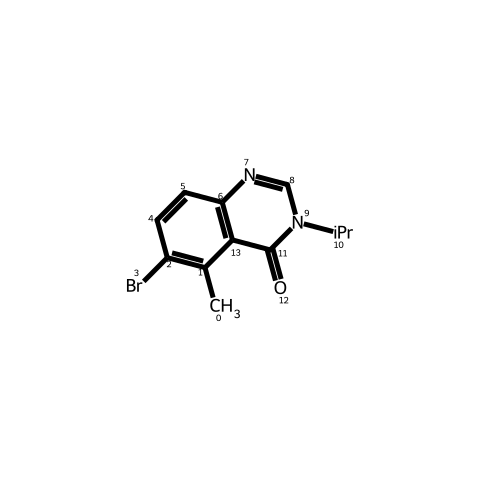 Cc1c(Br)ccc2ncn(C(C)C)c(=O)c12